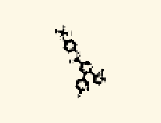 Cn1nccc1-c1ncc(C(=O)Nc2ccc(OC(F)(F)Cl)cc2)cc1-c1ccc(F)nc1